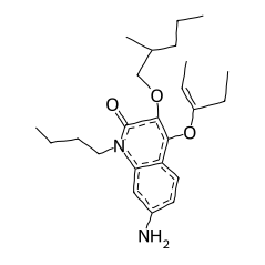 CC=C(CC)Oc1c(OCC(C)CCC)c(=O)n(CCCC)c2cc(N)ccc12